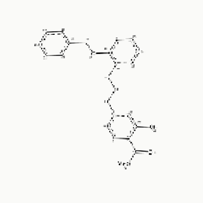 COC(=O)c1ccc(CCCc2ccccc2OCc2ccccc2)cc1O